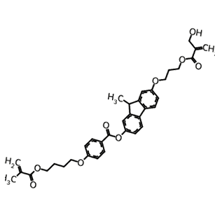 C=C(C)C(=O)OCCCCOc1ccc(C(=O)Oc2ccc3c(c2)C(C)c2cc(OCCCOC(=O)C(=C)CO)ccc2-3)cc1